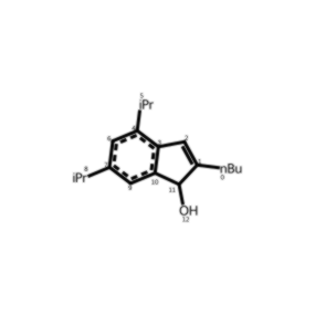 CCCCC1=Cc2c(C(C)C)cc(C(C)C)cc2C1O